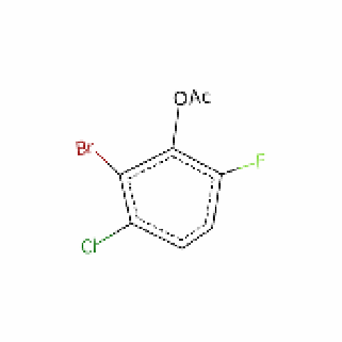 CC(=O)Oc1c(F)ccc(Cl)c1Br